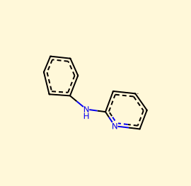 [c]1ccnc(Nc2ccccc2)c1